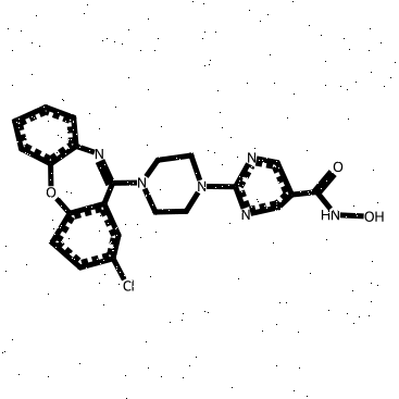 O=C(NO)c1cnc(N2CCN(C3=Nc4ccccc4Oc4ccc(Cl)cc43)CC2)nc1